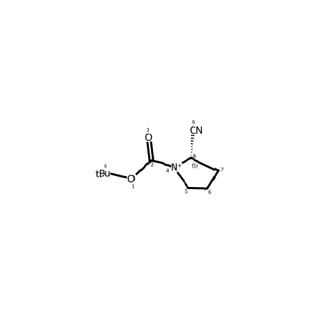 CC(C)(C)OC(=O)[N+]1CCC[C@H]1C#N